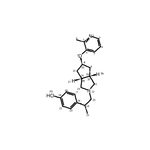 Cc1ncccc1O[C@H]1C[C@@H]2CN(CC(C)c3ccc(O)cc3)C[C@@H]2C1